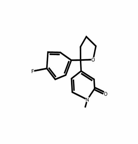 Cn1ccc(C2(c3ccc(F)cc3)CCCO2)cc1=O